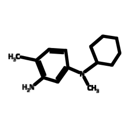 Cc1ccc(N(C)C2CCCCC2)cc1N